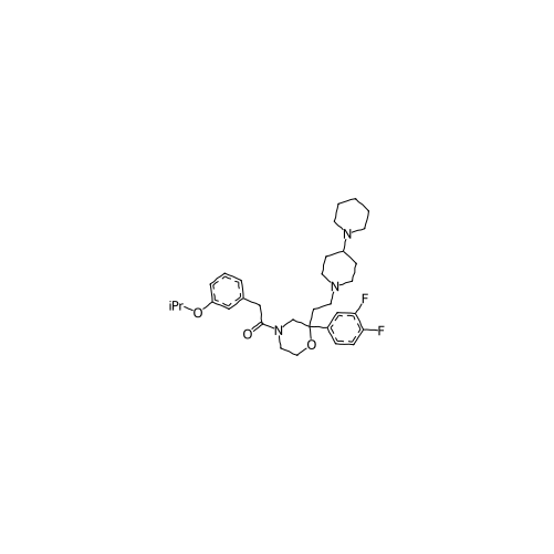 CC(C)Oc1cccc(CC(=O)N2CCOC(CCN3CCC(N4CCCCC4)CC3)(c3ccc(F)c(F)c3)C2)c1